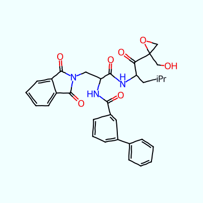 CC(C)CC(NC(=O)C(CN1C(=O)c2ccccc2C1=O)NC(=O)c1cccc(-c2ccccc2)c1)C(=O)C1(CO)CO1